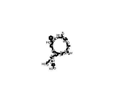 CNC(=O)C[C@@H]1NC(=O)c2csc(n2)-c2ccc(-c3nc(N(CCCC(=O)O)C(=O)O[C@H]4CC[C@H](C(=O)O)C4)cs3)nc2-c2csc(n2)C2=CCC(=N2)[C@H]([C@@H](O)c2ccccc2)NC(=O)CNC(=O)c2nc(sc2COC)C(C(C)C)NC(=O)c2nc1sc2C